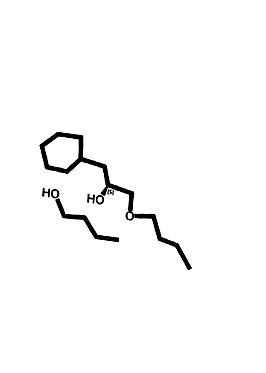 CCCCO.CCCCOC[C@@H](O)CC1CCCCC1